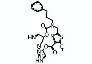 CCc1sc(CN(CCCc2ccccc2)C(=O)OC(C=N)CN=[N+]=[N-])nc1C(=O)OCC=N